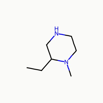 CCC1CNCCN1C